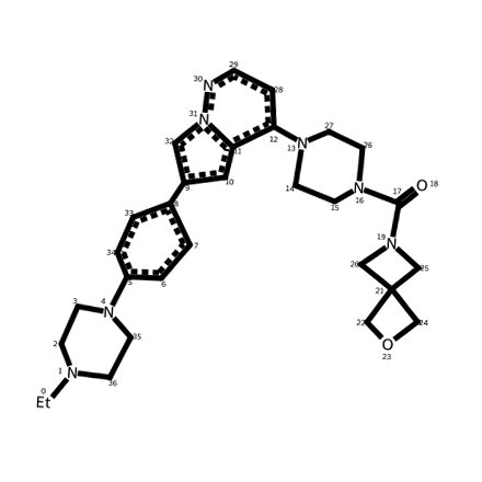 CCN1CCN(c2ccc(-c3cc4c(N5CCN(C(=O)N6CC7(COC7)C6)CC5)ccnn4c3)cc2)CC1